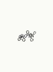 O=S1(=O)c2ccccc2-c2cccc3c4cc5c(cc4n1c23)c1ccccc1n5-c1nc(-c2ccccc2)nc(-c2ccccc2)n1